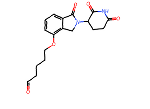 O=CCCCCOc1cccc2c1CN(C1CCC(=O)NC1=O)C2=O